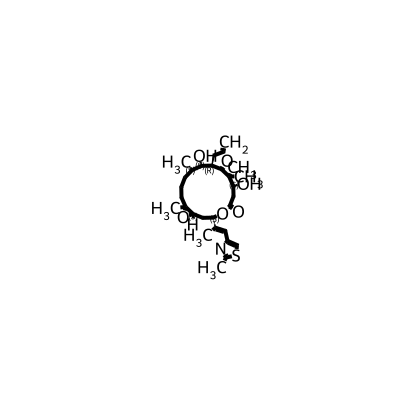 C=CC[C@H]1C(=O)C(C)(C)[C@@H](O)CC(=O)O[C@H](C(C)=Cc2csc(C)n2)C[C@@H]2OC2(C)CCC[C@H](C)[C@@H]1O